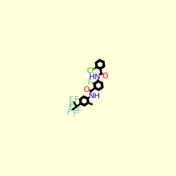 Cc1cc(C(F)(C(F)(F)F)C(F)(F)F)ccc1NC(=O)c1cccc(NC(=O)c2ccccc2Cl)c1F